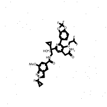 COc1cc(C(=O)NC[C@](O)(c2cc(CC(N)=O)c(OCC(F)F)c(-c3ccc4c(c3)OC(F)(F)O4)n2)C2CC2)cc2cn(C3(F)CC3)nc12